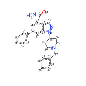 NC(=O)c1cc(-c2ccccc2)cc2c1cnn2C1CCN(Cc2ccccc2)CC1